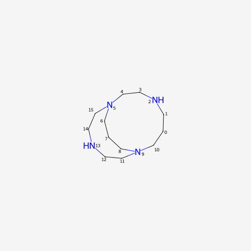 C1CNCCN2CCCN(C1)CCNCC2